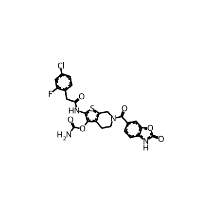 NC(=O)Oc1c(NC(=O)Cc2ccc(Cl)cc2F)sc2c1CCN(C(=O)c1ccc3[nH]c(=O)oc3c1)C2